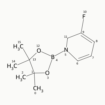 CC1(C)OB(N2C=CC=C(F)C2)OC1(C)C